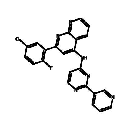 Fc1ccc(Cl)cc1-c1cc(Nc2ccnc(-c3cccnc3)n2)c2cccnc2n1